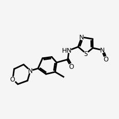 Cc1cc(N2CCOCC2)ccc1C(=O)Nc1ncc(N=O)s1